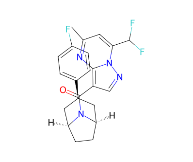 Cc1cc(C(F)F)n2ncc(C(=O)N3[C@@H]4CC[C@H]3C[C@@H](c3ccc(F)cc3)C4)c2n1